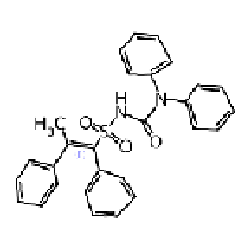 C/C(=C(/c1ccccc1)S(=O)(=O)NC(=O)N(c1ccccc1)c1ccccc1)c1ccccc1